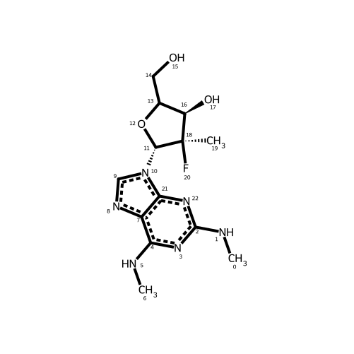 CNc1nc(NC)c2ncn([C@@H]3OC(CO)[C@@H](O)[C@@]3(C)F)c2n1